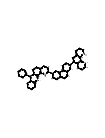 c1ccc(-c2c3ccccc3nc3c2ccc2ccc(-c4ccc5ccc6cc(-c7cc8cccnc8c8ncccc78)ccc6c5c4)nc23)cc1